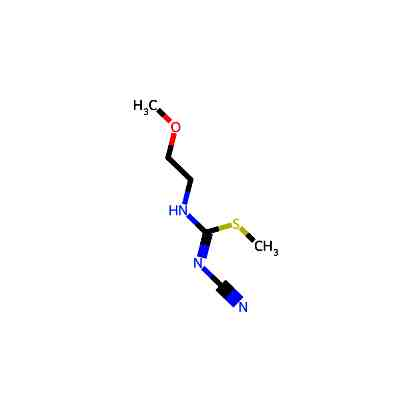 COCCNC(=NC#N)SC